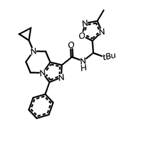 Cc1noc(C(NC(=O)c2nc(-c3ccccc3)n3c2CN(C2CC2)CC3)C(C)(C)C)n1